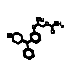 CC(C)(C)C(COC(N)=O)Oc1cccc(C(=C2CCNCC2)c2ccccc2)c1